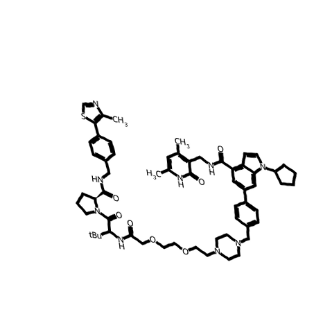 Cc1cc(C)c(CNC(=O)c2cc(-c3ccc(CN4CCN(CCOCCOCC(=O)NC(C(=O)N5CCC[C@H]5C(=O)NCc5ccc(-c6scnc6C)cc5)C(C)(C)C)CC4)cc3)cc3c2ccn3C2CCCC2)c(=O)[nH]1